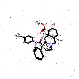 COC(=O)[C@@H]1[C@H]2C[C@@H]3N(CC[C@@]34C(=O)N(c3ccc(C)cc3)c3ccccc34)C[C@@H]2CC[C@@H]1O